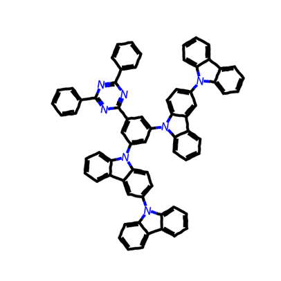 c1ccc(-c2nc(-c3ccccc3)nc(-c3cc(-n4c5ccccc5c5cc(-n6c7ccccc7c7ccccc76)ccc54)cc(-n4c5ccccc5c5cc(-n6c7ccccc7c7ccccc76)ccc54)c3)n2)cc1